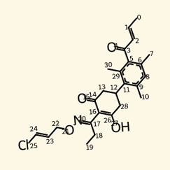 CC=CC(=O)c1c(C)cc(C)c(C2CC(=O)C(C(CC)=NOCC=CCl)=C(O)C2)c1C